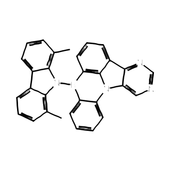 Cc1cccc2c3cccc(C)c3n(B3c4ccccc4-n4c5cncnc5c5cccc3c54)c12